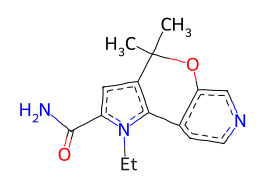 CCn1c(C(N)=O)cc2c1-c1ccncc1OC2(C)C